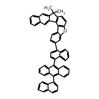 CC1(C)c2cc3ccccc3cc2-c2c1ccc1oc3cc(-c4ccc(-c5c6ccccc6c(-c6cccc7ccccc67)c6ccccc56)c5ccccc45)ccc3c21